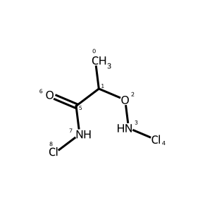 CC(ONCl)C(=O)NCl